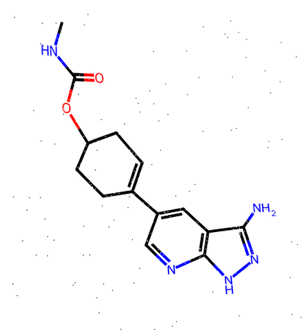 CNC(=O)OC1CC=C(c2cnc3[nH]nc(N)c3c2)CC1